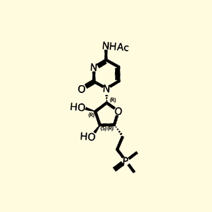 C=P(C)(C)CC[C@H]1O[C@@H](n2ccc(NC(C)=O)nc2=O)[C@H](O)[C@@H]1O